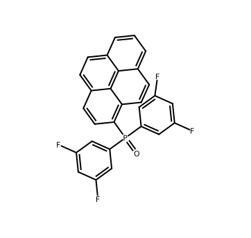 O=P(c1cc(F)cc(F)c1)(c1cc(F)cc(F)c1)c1ccc2ccc3cccc4ccc1c2c34